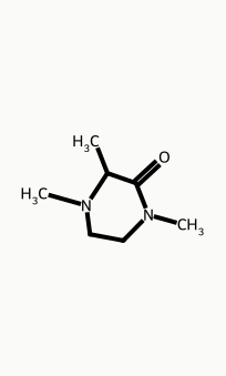 CC1C(=O)N(C)CCN1C